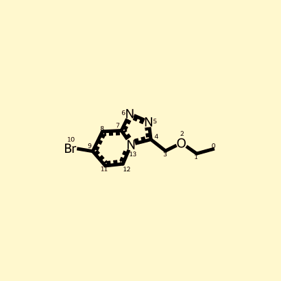 CCOCc1nnc2cc(Br)ccn12